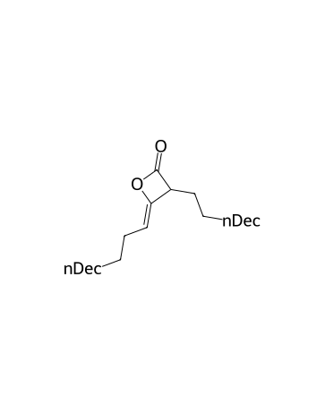 CCCCCCCCCCCC/C=C1\OC(=O)C1CCCCCCCCCCCC